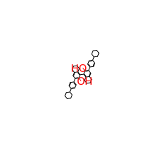 Oc1c(-c2ccc(C3CCCCC3)cc2)cc2c(c1-c1c(O)c(-c3ccc(C4CCCCC4)cc3)cc3c1CCCC3)CCCC2